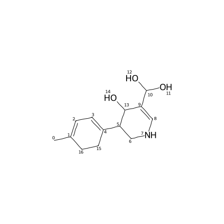 CC1=CC=C(C2CNC=C(C(O)O)C2O)CC1